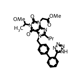 COC(=O)Cn1c(=O)n(C(C)OC)c(=O)c2c1nc(C(C)C)n2Cc1ccc(-c2ccccc2-c2nnn[nH]2)cc1